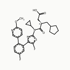 COc1ccc(-c2ccc(F)cc2-c2nc(N(C(=O)[C@@H](CC(=O)O)CC3CCCC3)C3CC3)sc2F)cn1